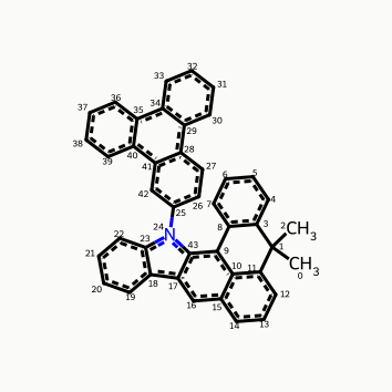 CC1(C)c2ccccc2-c2c3c1cccc3cc1c3ccccc3n(-c3ccc4c5ccccc5c5ccccc5c4c3)c21